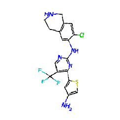 Nc1csc(-c2nc(Nc3cc4c(cc3Cl)CNCC4)ncc2C(F)(F)F)c1